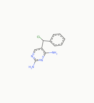 Nc1ncc(C(Cl)c2ccccc2)c(N)n1